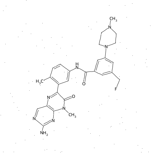 Cc1ccc(NC(=O)c2cc(CF)cc(N3CCN(C)CC3)c2)cc1-c1nc2cnc(N)nc2n(C)c1=O